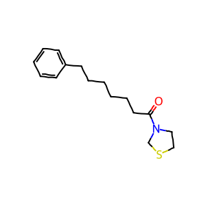 O=C(CCCCCCc1ccccc1)N1CCSC1